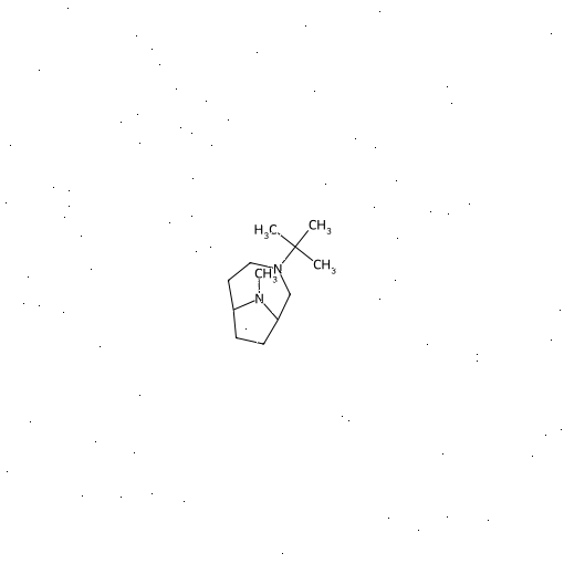 CN1C2CCC1CN(C(C)(C)C)CC2